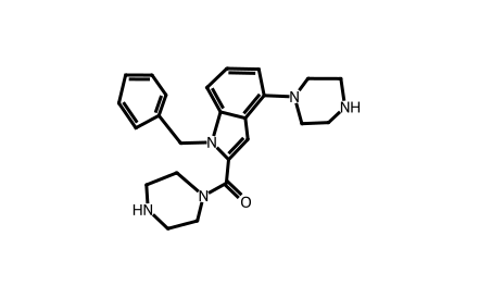 O=C(c1cc2c(N3CCNCC3)cccc2n1Cc1ccccc1)N1CCNCC1